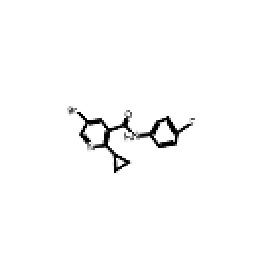 O=C(Nc1ccc(F)cc1)c1cc(Br)cnc1C1CC1